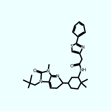 Cn1c2c(n(CC(C)(C)C)c1=O)=CCC(C1CCC(C)(C)C(NC(=O)Cc3csc(-c4ccccc4)n3)C1)N=2